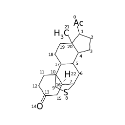 CC(=O)C1CCC2C3CC4SCC5(CCC(=O)C[C@H]45)C3CCC12C